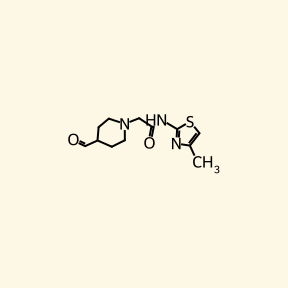 Cc1csc(NC(=O)CN2CCC(C=O)CC2)n1